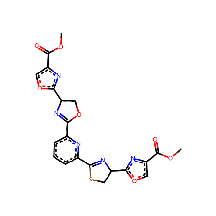 COC(=O)c1coc(C2COC(c3cccc(C4=NC(c5nc(C(=O)OC)co5)CS4)n3)=N2)n1